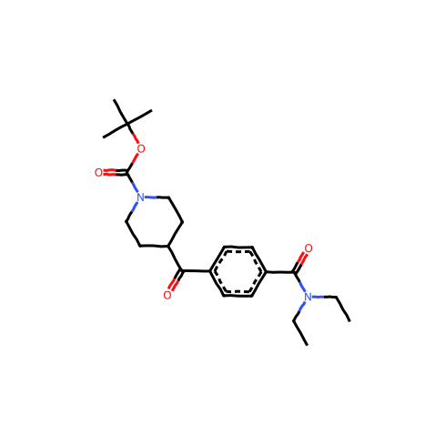 CCN(CC)C(=O)c1ccc(C(=O)C2CCN(C(=O)OC(C)(C)C)CC2)cc1